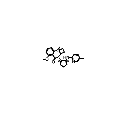 COc1cccc(OC)c1C(=O)N(C1CCC1)[C@H]1CCC[C@@H]1Nc1ccc(C)cn1